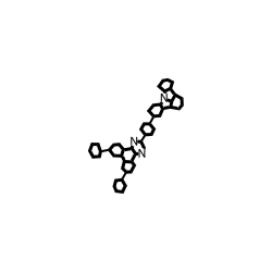 c1ccc(-c2ccc3c(c2)c2cc(-c4ccccc4)ccc2c2nc(-c4ccc(-c5ccc6c(c5)c5cccc7c8ccccc8n6c75)cc4)cnc32)cc1